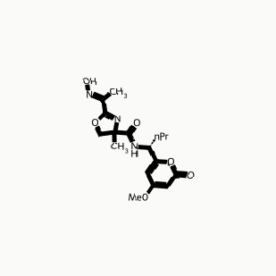 CCC[C@@H](NC(=O)C1(C)COC(/C(C)=N/O)=N1)c1cc(OC)cc(=O)o1